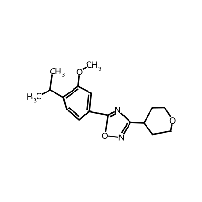 COc1cc(-c2nc(C3CCOCC3)no2)ccc1C(C)C